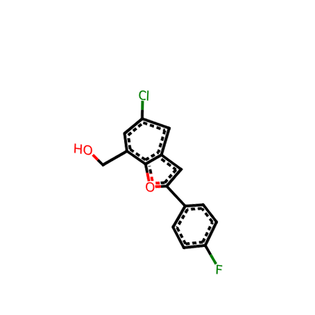 OCc1cc(Cl)cc2cc(-c3ccc(F)cc3)oc12